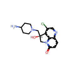 NC1CCN(C[C@@]2(O)Cn3c(=O)ccc4ncc(Cl)c2c43)CC1